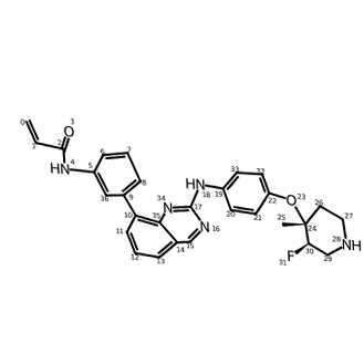 C=CC(=O)Nc1cccc(-c2cccc3cnc(Nc4ccc(O[C@]5(C)CCNC[C@H]5F)cc4)nc23)c1